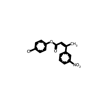 CC(=CC(=O)Oc1ccc(Cl)cc1)c1cccc([N+](=O)[O-])c1